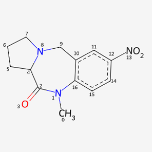 CN1C(=O)C2CCCN2Cc2cc([N+](=O)[O-])ccc21